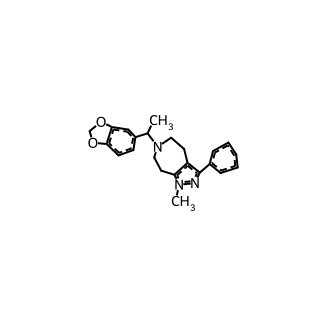 CC(c1ccc2c(c1)OCO2)N1CCc2c(-c3ccccc3)nn(C)c2CC1